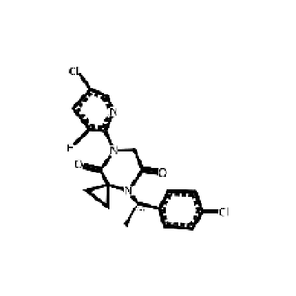 C[C@H](c1ccc(Cl)cc1)N1C(=O)CN(c2ncc(Cl)cc2F)C(=O)C12CC2